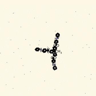 CC(c1ccc(OC(=O)c2ccc(/N=N/c3ccccc3)cc2)cc1)(c1ccc(OC(=O)c2ccc(/N=N/c3ccccc3)cc2)cc1)c1ccc(OC(=O)c2ccc(/N=N/c3ccccc3)cc2)cc1